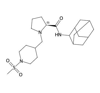 CS(=O)(=O)N1CCC(CN2CCC[C@H]2C(=O)NC2C3CC4CC(C3)CC2C4)CC1